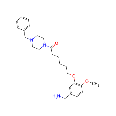 COc1ccc(CN)cc1OCCCCCC(=O)N1CCN(Cc2ccccc2)CC1